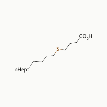 CCCCCCCCCCCSCCCC(=O)O